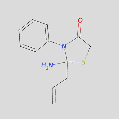 C=CCC1(N)SCC(=O)N1c1ccccc1